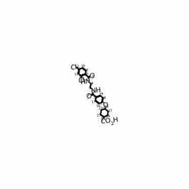 O=C(NCCNC(=O)c1ccc(Cl)cc1Cl)c1ccc(O[C@H]2CC[C@@H](C(=O)O)CC2)cc1